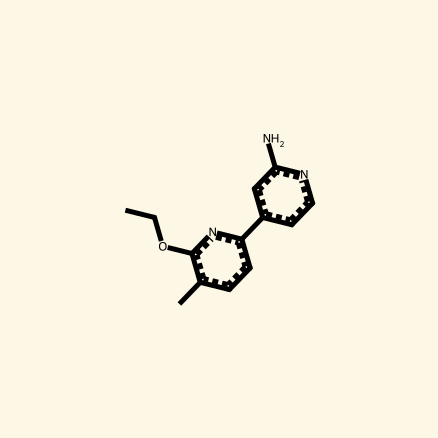 CCOc1nc(-c2ccnc(N)c2)ccc1C